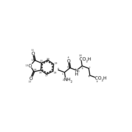 CC(N)C(=O)NC(CCC(=O)O)C(=O)O.O=C1OC(=O)c2ccccc21